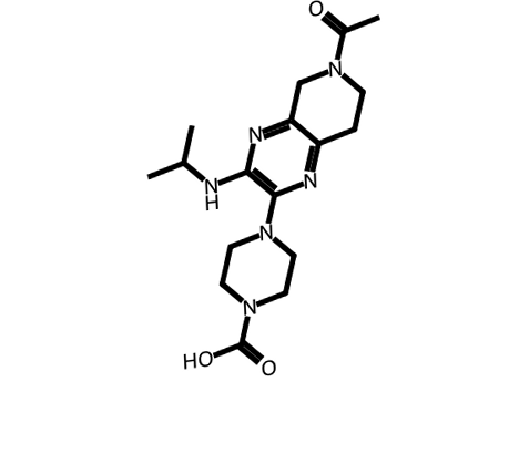 CC(=O)N1CCc2nc(N3CCN(C(=O)O)CC3)c(NC(C)C)nc2C1